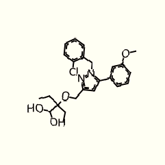 CCC(CC)(OCc1cc(-c2cccc(OC)c2)n(Cc2ccccc2Cl)n1)C(O)O